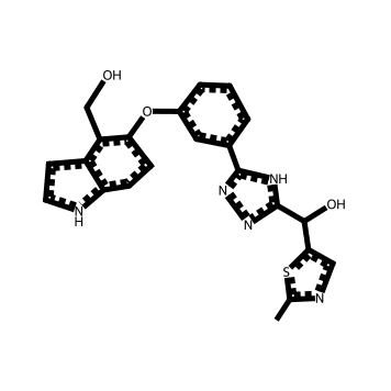 Cc1ncc(C(O)c2nnc(-c3cccc(Oc4ccc5[nH]ccc5c4CO)c3)[nH]2)s1